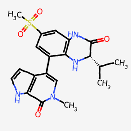 CC(C)[C@@H]1Nc2c(cc(S(C)(=O)=O)cc2-c2cn(C)c(=O)c3[nH]ccc23)NC1=O